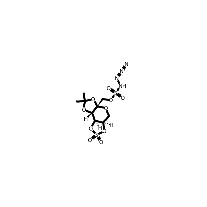 CC1(C)O[C@H]2[C@@H]3OS(=O)(=O)O[C@@H]3CO[C@@]2(COS(=O)(=O)NN=[N+]=[N-])O1